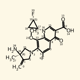 C=C1CN(c2c(F)cc3c(=O)c(C(=O)O)cn([C@@H]4C[C@@H]4F)c3c2OC)C[C@]1(C)N